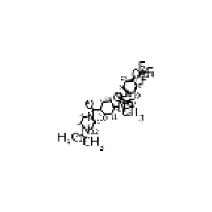 CC(C)N1CCN(C(=O)C2CCC(N(C)S(=O)(=O)c3ccc(OC(F)(F)F)cc3)CC2)CC1